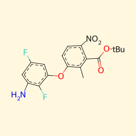 Cc1c(Oc2cc(F)cc(N)c2F)ccc([N+](=O)[O-])c1C(=O)OC(C)(C)C